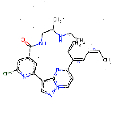 C=C/C(=C\C=C/C)c1ccn2ncc(-c3cc(C(=O)NCC(C)NCC)cc(Cl)n3)c2n1